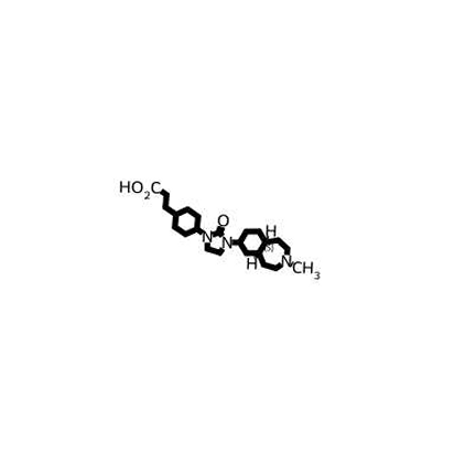 CN1CC[C@@H]2CCC(N3CCN(C4CCC(CCC(=O)O)CC4)C3=O)C[C@H]2CC1